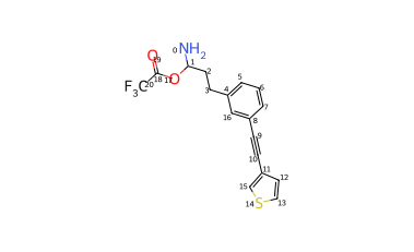 NC(CCc1cccc(C#Cc2ccsc2)c1)OC(=O)C(F)(F)F